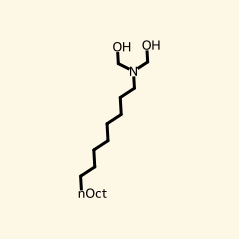 CCCCCCCCCCCCCCCCN(CO)CO